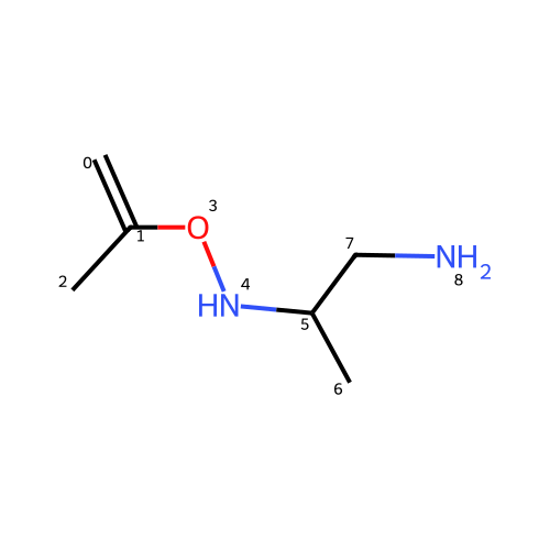 C=C(C)ONC(C)CN